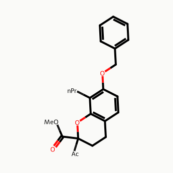 CCCc1c(OCc2ccccc2)ccc2c1OC(C(C)=O)(C(=O)OC)CC2